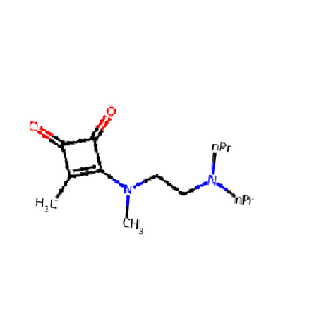 CCCN(CCC)CCN(C)c1c(C)c(=O)c1=O